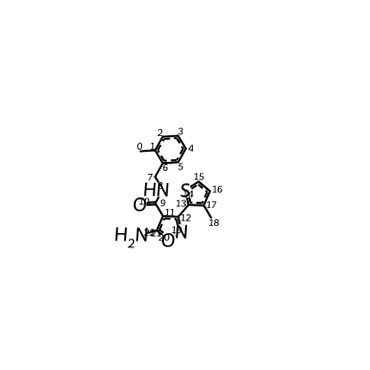 Cc1ccccc1CNC(=O)c1c(-c2sccc2C)noc1N